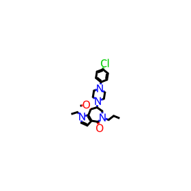 CCCN1CC(N2CCN(c3ccc(Cl)cc3)CC2)C(OC)c2c(ccn2CC)C1=O